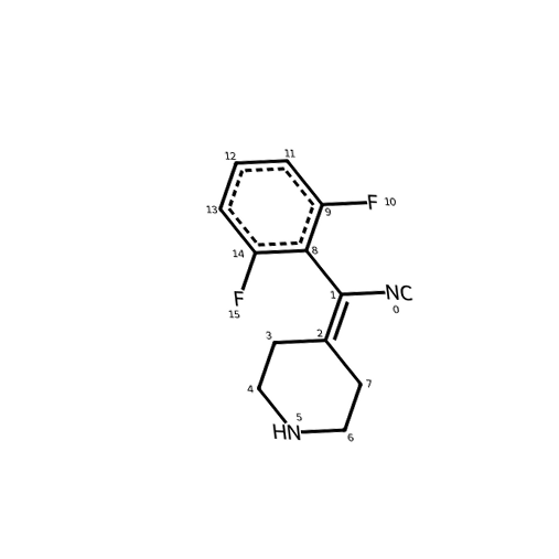 [C-]#[N+]C(=C1CCNCC1)c1c(F)cccc1F